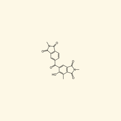 Cc1c(O)c(C(=O)c2ccc3c(c2)C(=O)N(C)C3=O)cc2c1C(=O)N(C)C2=O